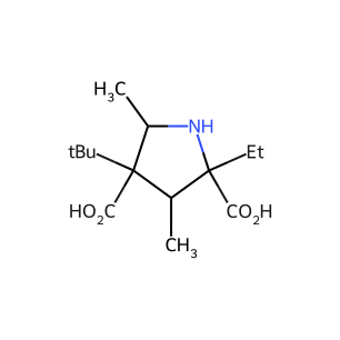 CCC1(C(=O)O)NC(C)C(C(=O)O)(C(C)(C)C)C1C